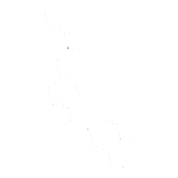 COc1cc(Oc2ccc(NC(=O)[C@@H](C)NC(=O)O)cn2)ccc1C